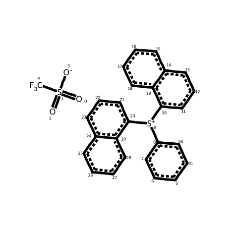 O=S(=O)([O-])C(F)(F)F.c1ccc([S+](c2cccc3ccccc23)c2cccc3ccccc23)cc1